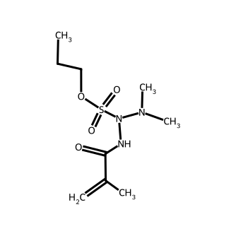 C=C(C)C(=O)NN(N(C)C)S(=O)(=O)OCCC